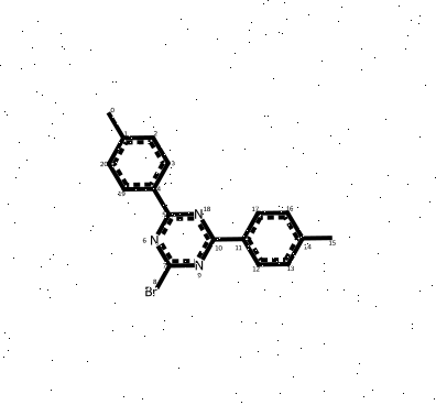 Cc1ccc(-c2nc(Br)nc(-c3ccc(C)cc3)n2)cc1